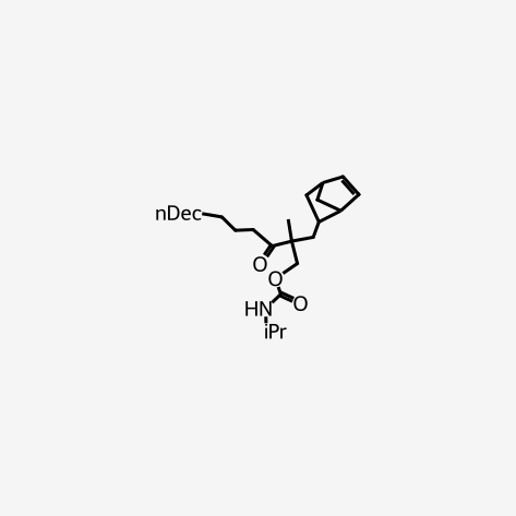 CCCCCCCCCCCCCC(=O)C(C)(COC(=O)NC(C)C)CC1CC2C=CC1C2